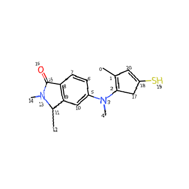 CC1=C(N(C)c2ccc3c(c2)C(C)N(C)C3=O)CC(S)=C1